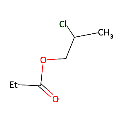 [CH2]CC(=O)OCC(C)Cl